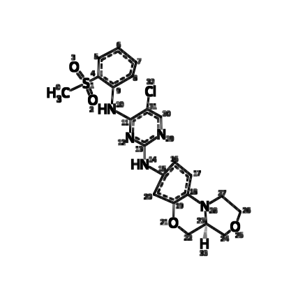 CS(=O)(=O)c1ccccc1Nc1nc(Nc2ccc3c(c2)OC[C@@H]2COCCN32)ncc1Cl